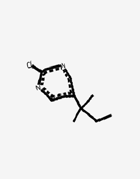 CCC(C)(C)c1cnc(Cl)nc1